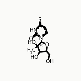 O=c1[nH]c(=S)ccn1[C@@H]1OC(CO)C(O)C1(O)C(F)(F)F